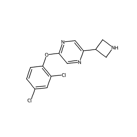 Clc1ccc(Oc2cnc(C3CNC3)cn2)c(Cl)c1